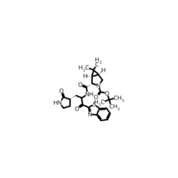 CC(C)(C)OC(=O)N1C[C@H]2[C@@H]([C@H]1C(=O)NC(C[C@@H]1CCNC1=O)C(=O)c1nc3ccccc3s1)C2(C)C